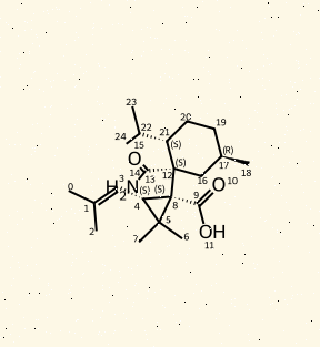 CC(C)=C[C@H]1C(C)(C)[C@]1(C(=O)O)[C@]1(C(N)=O)C[C@H](C)CC[C@H]1C(C)C